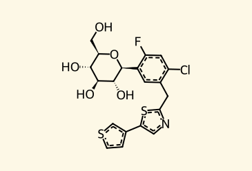 OC[C@H]1O[C@@H](c2cc(Cc3ncc(-c4ccsc4)s3)c(Cl)cc2F)[C@H](O)[C@@H](O)[C@@H]1O